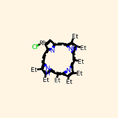 CCC1=C(CC)c2nc1c(CC)c1[nH]c(cc3nc(cc4[nH]c(c2CC)c(CC)c4CC)C=C3)c(CC)c1CC.[Cl][Rh]